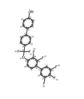 CCCc1ccc(-c2ccc(C(F)(F)Oc3ccc(-c4cc(F)c(F)c(F)c4)c(F)c3F)cc2)cc1